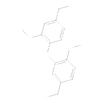 COc1cc(CCl)ccc1Oc1cc(CCl)ccc1OC